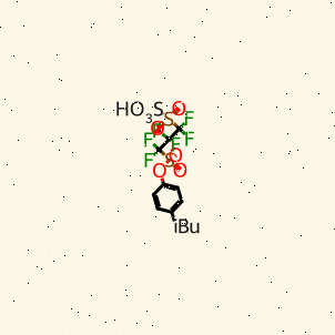 CCC(C)c1ccc(OS(=O)(=O)C(F)(F)C(F)(F)C(F)(F)S(=O)(=O)S(=O)(=O)O)cc1